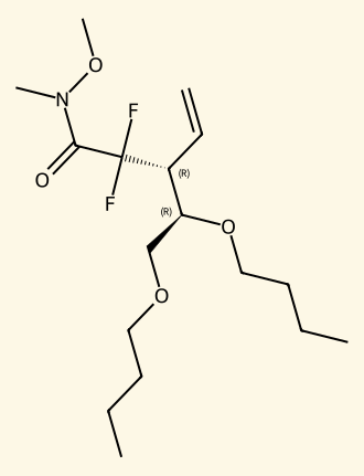 C=C[C@H]([C@H](COCCCC)OCCCC)C(F)(F)C(=O)N(C)OC